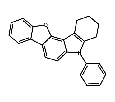 c1ccc(-n2c3c(c4c5oc6ccccc6c5ccc42)CCCC3)cc1